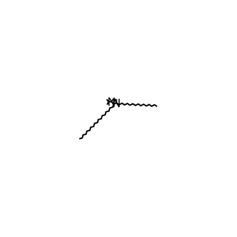 CCCCCCCCCCCCCCCCCCC1N(CCCCCCCCCCCCCCC)C=CN1C(C)C